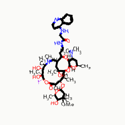 CO[C@]1(C)C[C@H](O[C@H]2[C@H](C)[C@H]3O[C@@H]4O[C@H](C)C[C@H](N(C)C)[C@H]4OC(CCNC(=O)CNc4ccnc5ccccc45)[C@@H](CN(C)[C@H](C)[C@@H](O)[C@](C)(O)[C@@H](I)OC(=O)[C@@H]2C)C[C@@]3(C)O)O[C@@H](C)[C@@H]1O